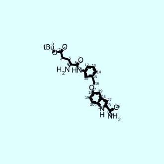 CC(C)(C)OC(=O)CC[C@H](N)C(=O)Nc1cccc(COc2ccc3[nH]c(C(N)=O)cc3c2)c1